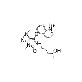 C[C@@H](O)CCCCn1c(=O)c2c(ncn2C)n(C)c1=O.[Lu].c1ccc2ncccc2c1